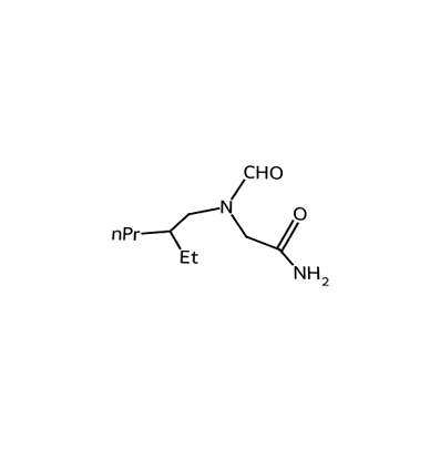 CCCC(CC)CN(C=O)CC(N)=O